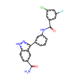 NC(=O)c1ccc2[nH]nc(-c3cccc(NC(=O)c4cc(F)cc(Cl)c4)c3)c2c1